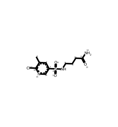 Cc1cc(S(=O)(=O)NCCCC(N)=O)cnc1Cl